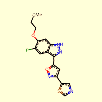 COCCOc1cc2[nH]nc(-c3cc(-c4cncs4)no3)c2cc1F